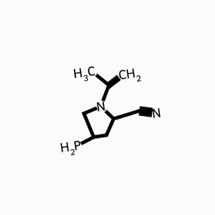 C=C(C)N1CC(P)CC1C#N